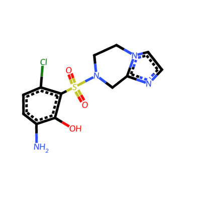 Nc1ccc(Cl)c(S(=O)(=O)N2CCn3ccnc3C2)c1O